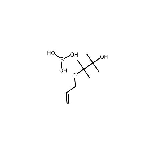 C=CCOC(C)(C)C(C)(C)O.OB(O)O